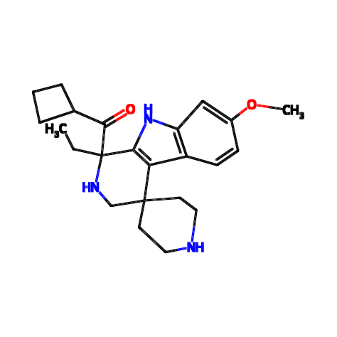 CCC1(C(=O)C2CCC2)NCC2(CCNCC2)c2c1[nH]c1cc(OC)ccc21